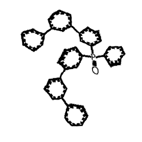 O=P(c1ccccc1)(c1cccc(-c2cccc(-c3ccccc3)c2)c1)c1cccc(-c2cccc(-c3ccccc3)c2)c1